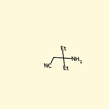 CCC(N)(CC)CC#N